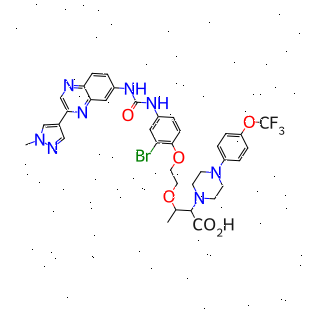 CC(OCCOc1ccc(NC(=O)Nc2ccc3ncc(-c4cnn(C)c4)nc3c2)cc1Br)C(C(=O)O)N1CCN(c2ccc(OC(F)(F)F)cc2)CC1